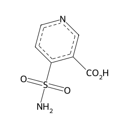 NS(=O)(=O)c1ccncc1C(=O)O